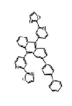 c1ccc(-c2ccc(-c3ccc4c(-c5ccnc(-c6ncco6)c5)c5ccccc5c(-c5ccnc(-c6ncco6)c5)c4c3)cc2)cc1